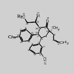 C=CC[C@@]1(C)CC(c2cccc(Cl)c2)[C@@H](c2ccc(Cl)cc2)N(C(CC)COC)C1=O